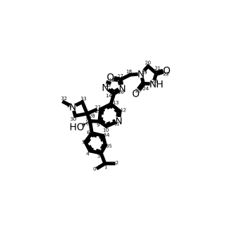 CC(C)c1ccc([C@](O)(c2cncc(-c3noc(CN4CC(=O)NC4=O)n3)c2)C2(C)CN(C)C2)cc1